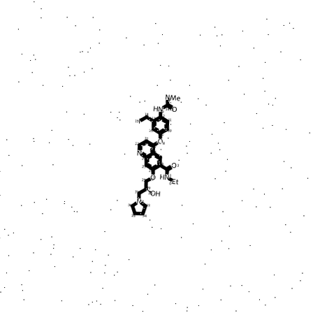 CCNC(=O)c1cc2c(Oc3ccc(NC(=O)NC)c(CI)c3)ccnc2cc1OC[C@H](O)CN1CCCC1